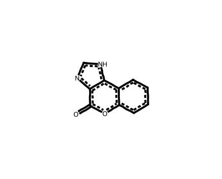 O=c1oc2ccccc2c2[nH]cnc12